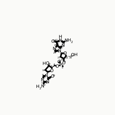 CP(=O)(OC[C@H]1O[C@@H](n2cnc(N)nc2=O)CC1O)OC1C[C@H](n2cnc3c(=O)[nH]c(N)nc32)O[C@@H]1CO